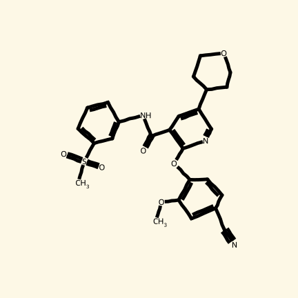 COc1cc(C#N)ccc1Oc1ncc(C2CCOCC2)cc1C(=O)Nc1cccc(S(C)(=O)=O)c1